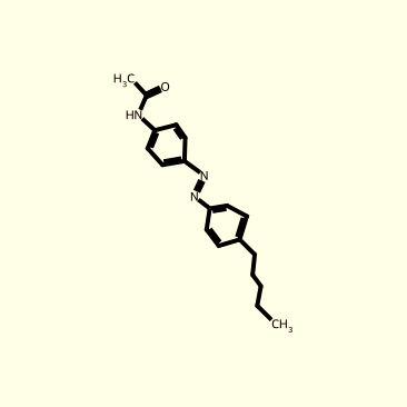 CCCCCc1ccc(N=Nc2ccc(NC(C)=O)cc2)cc1